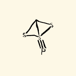 P#S12SC1S2